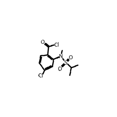 CC(C)S(=O)(=O)N(C)c1cc(Cl)ccc1C(=O)Cl